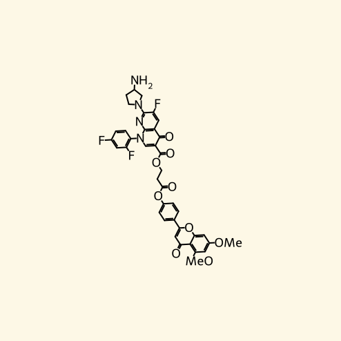 COc1cc(OC)c2c(=O)cc(-c3ccc(OC(=O)CCOC(=O)c4cn(-c5ccc(F)cc5F)c5nc(N6CCC(N)C6)c(F)cc5c4=O)cc3)oc2c1